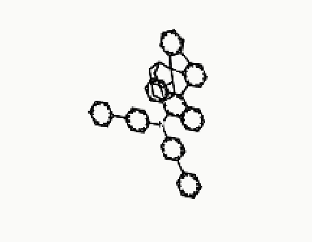 c1ccc(-c2ccc(N(c3ccc(-c4ccccc4)cc3)c3c4ccccc4c(-c4cccc5c4C4(c6ccccc6-5)C5CC6CC(C5)CC4C6)c4ccccc34)cc2)cc1